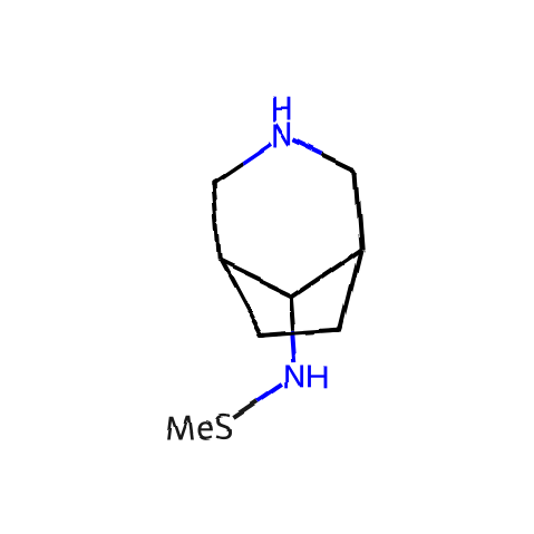 CSNC1C2CCC1CNC2